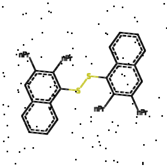 CCCc1cc2ccccc2c(SSc2c(CCC)c(CCC)cc3ccccc23)c1CCC